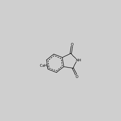 O=C1NC(=O)c2ccccc21.[CaH2]